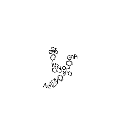 CCCOc1ccc(C=CC(=O)N(Cc2ccc(N3CCN(C(C)=O)CC3)cc2)C(Cc2ccccc2)C(=O)N2CCN(Cc3ccc(S(=O)(=O)CC)cc3)CC2)cc1